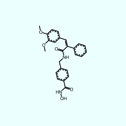 COc1ccc(C=C(C(=O)NCc2ccc(C(=O)NO)cc2)c2ccccc2)cc1OC